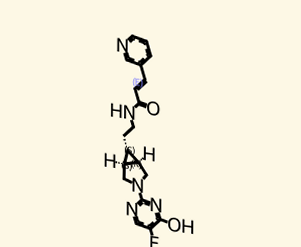 O=C(/C=C/c1cccnc1)NCC[C@@H]1[C@H]2CN(c3ncc(F)c(O)n3)C[C@@H]12